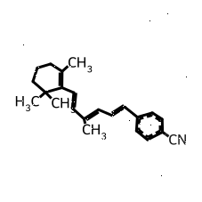 CC(C=CC1=C(C)CCCC1(C)C)=CC=Cc1ccc(C#N)cc1